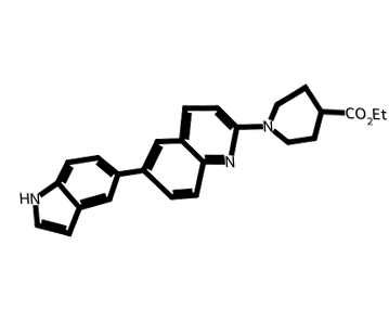 CCOC(=O)C1CCN(c2ccc3cc(-c4ccc5[nH]ccc5c4)ccc3n2)CC1